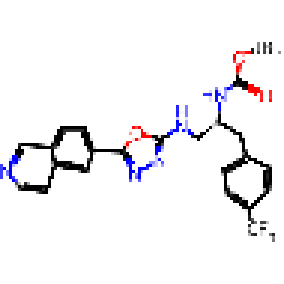 CC(C)(C)OC(=O)N[C@H](CNc1nnc(-c2ccc3cnccc3c2)o1)Cc1ccc(C(F)(F)F)cc1